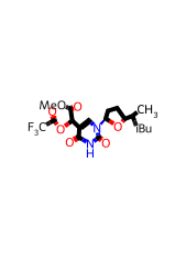 CCC(C)C(C)C1CC[C@H](n2cc(C(OC(=O)C(F)(F)F)C(=O)OC)c(=O)[nH]c2=O)O1